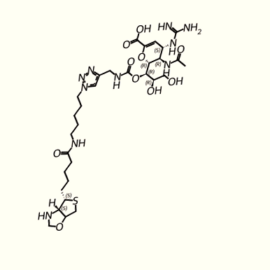 CC(=O)N[C@H]1[C@H]([C@H](OC(=O)NCc2cn(CCCCCNC(=O)CCCC[C@@H]3SCC4OCN[C@@H]43)nn2)[C@H](O)CO)OC(C(=O)O)=C[C@@H]1NC(=N)N